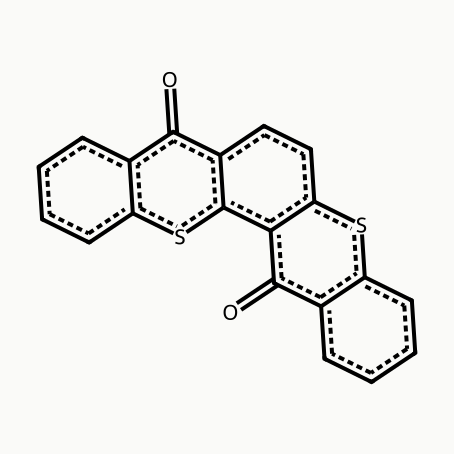 O=c1c2ccccc2sc2c1ccc1sc3ccccc3c(=O)c12